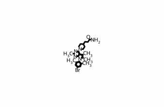 Cc1nc(N2CCC(CCC(N)=O)CC2)c2c(C)c(C)n(-c3c(C)cc(Br)cc3C)c2n1